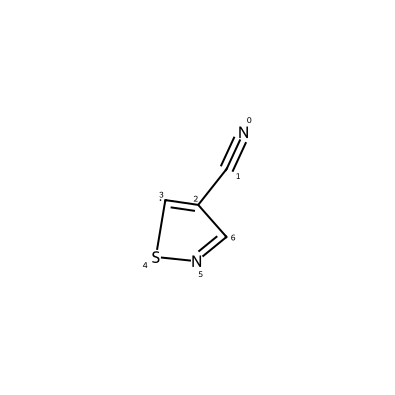 N#Cc1[c]snc1